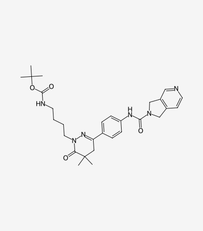 CC(C)(C)OC(=O)NCCCCN1N=C(c2ccc(NC(=O)N3Cc4ccncc4C3)cc2)CC(C)(C)C1=O